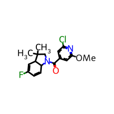 COc1cc(C(=O)N2CC(C)(C)C3C=C(F)C=CC32)cc(Cl)n1